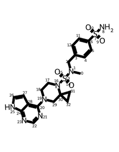 CN(Cc1ccc(S(N)(=O)=O)cc1)S(=O)(=O)N1CCN(c2ncnc3[nH]ccc23)CC12CC2